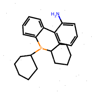 Nc1ccccc1-c1ccccc1P(C1CCCCC1)C1CCCCC1